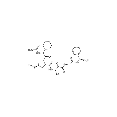 CCCC(NC(=O)C1C[C@@H](SC(C)(C)C)CN1C(=O)C(NC(=O)OCC(C)C)C1CCCCC1)C(=O)C(=O)NCC(=O)NC(C(=O)O)c1ccccc1